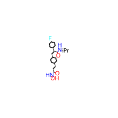 CC(C)NC(=O)C(=Cc1ccc(/C=C/C(=O)NO)cc1)c1ccc(F)cc1